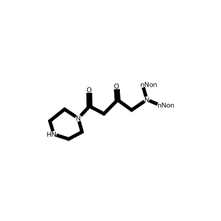 CCCCCCCCCN(CCCCCCCCC)CC(=O)CC(=O)N1CCNCC1